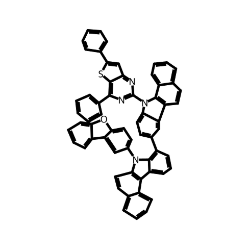 c1ccc(-c2cc3nc(-n4c5ccc(-c6cccc7c8c9ccccc9ccc8n(-c8ccc9oc%10ccccc%10c9c8)c67)cc5c5ccc6ccccc6c54)nc(-c4ccccc4)c3s2)cc1